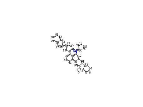 CC1(C)c2ccccc2-c2cc3cc(N(c4ccccc4)c4ccc(-c5ccc6ccccc6c5)cc4)c4ccccc4c3cc21